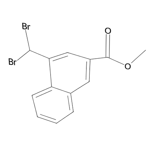 COC(=O)c1cc(C(Br)Br)c2ccccc2c1